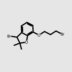 CC1(C)Oc2c(OCCCBr)cccc2C1Br